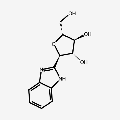 OC[C@H]1O[C@H](c2nc3ccccc3[nH]2)[C@@H](O)[C@@H]1O